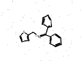 c1ccc(C(=[15N]Cc2cccs2)c2ccccc2)cc1